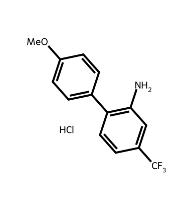 COc1ccc(-c2ccc(C(F)(F)F)cc2N)cc1.Cl